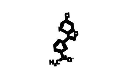 C[S+]([O-])c1cccc(-c2coc3cc(Cl)cnc23)c1